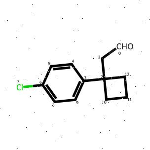 O=CCC1(c2ccc(Cl)cc2)CCC1